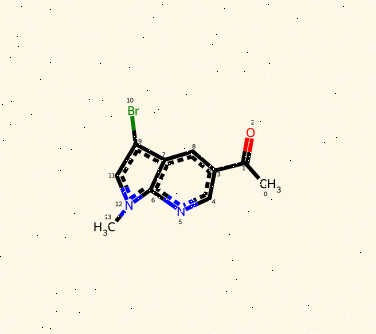 CC(=O)c1cnc2c(c1)c(Br)cn2C